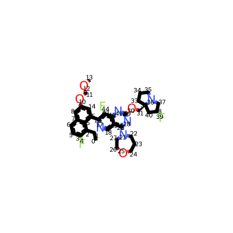 CCc1c(F)ccc2cc(OCOC)cc(-c3ncc4c(N5CCCOCC5)nc(OC[C@@]56CCCN5C[C@H](F)C6)nc4c3F)c12